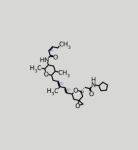 CC/C=C\C(=O)NC1CC(C)C(C/C=C(C)/C=C/C2CC3(CO3)C[C@@H](CC(=O)NC3CCCC3)O2)OC1C